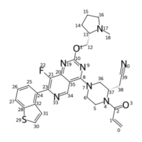 C=CC(=O)N1CCN(c2nc(OC[C@@H]3CCCN3C)nc3c(F)c(-c4cccc5sccc45)ncc23)C[C@@H]1CC#N